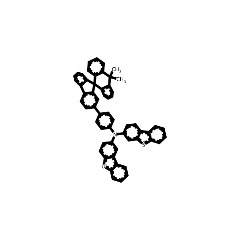 CC1(C)c2ccccc2C2(c3ccccc3-c3ccc(-c4ccc(N(c5ccc6c(c5)sc5ccccc56)c5ccc6oc7ccccc7c6c5)cc4)cc32)c2ccccc21